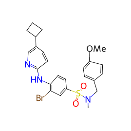 COc1ccc(CN(C)S(=O)(=O)c2ccc(Nc3ccc(C4CCC4)cn3)c(Br)c2)cc1